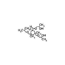 CC(C)COCC1(C)CC(C)(COCC(C)O)CC(C)(COCC(C)O)C1